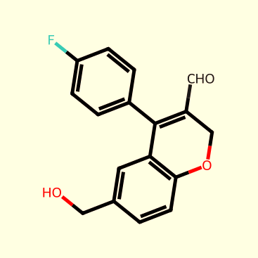 O=CC1=C(c2ccc(F)cc2)c2cc(CO)ccc2OC1